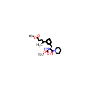 C=C(CCC(=O)OC(C)(C)C)c1cccc(C[C@H](NC(=O)OC(C)(C)C)C(=O)N2CCCCC2)c1